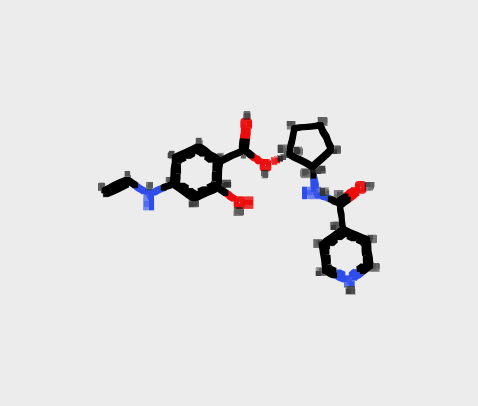 C=CNc1ccc(C(=O)O[C@@H]2CCC[C@H]2NC(=O)c2ccncc2)c(O)c1